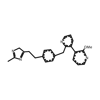 COc1ncccc1-c1cccnc1Cc1ccc(CCC2=NC(C)=NC2)cc1